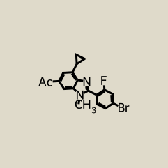 CC(=O)c1cc(C2CC2)c2nc(-c3ccc(Br)cc3F)n(C)c2c1